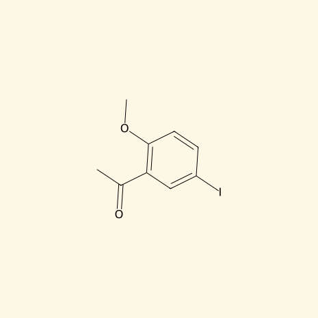 COc1ccc(I)cc1C(C)=O